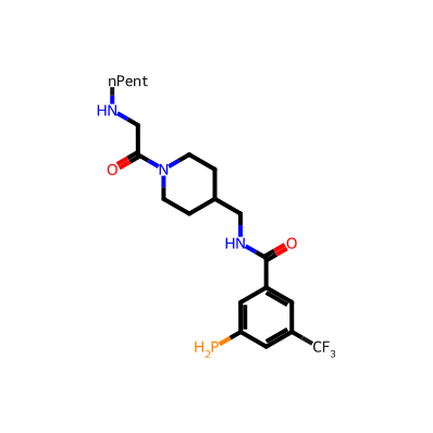 CCCCCNCC(=O)N1CCC(CNC(=O)c2cc(P)cc(C(F)(F)F)c2)CC1